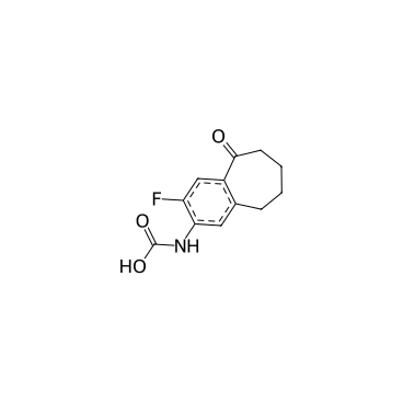 O=C(O)Nc1cc2c(cc1F)C(=O)CCCC2